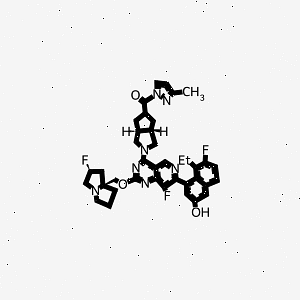 CCc1c(F)ccc2cc(O)cc(-c3ncc4c(N5C[C@H]6CC(C(=O)n7ccc(C)n7)C[C@@H]6C5)nc(OC[C@@]56CCCN5C[C@H](F)C6)nc4c3F)c12